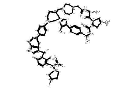 Cc1ncsc1-c1ccc([C@H](C)NC(=O)[C@@H]2C[C@@H](O)CN2C(=O)[C@@H](NC(=O)CN2CCCN(CC3CCN(c4ccc(-c5cnc6[nH]cc(C(=O)c7c(F)ccc(N(N8CC[C@@H](F)C8)[SH](=O)=O)c7F)c6c5)cc4)CC3)CC2)C(C)(C)C)cc1